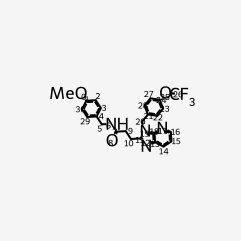 COc1ccc(CNC(=O)CCc2nc3cccnc3n2Cc2ccc(OC(F)(F)F)cc2)cc1